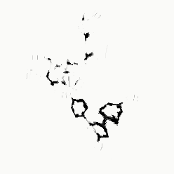 Cc1ccc(-c2cc(C(F)(F)F)nn2-c2ccc(S(=O)(=O)NC(=O)[C@H](C(C)C)N(C)[N+]([O-])=NOC(C)OC(=O)OC(C)(C)C)cc2)cc1